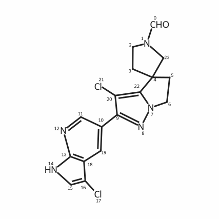 O=CN1CCC2(CCn3nc(-c4cnc5[nH]cc(Cl)c5c4)c(Cl)c32)C1